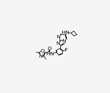 Cc1nc(C)c(C(=O)Nc2ccc(F)c(-c3cn4cc(NC5CCC5)cnc4n3)c2)o1